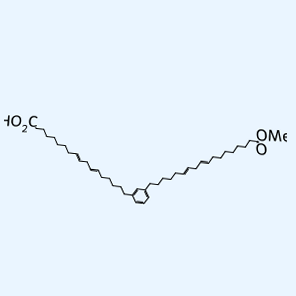 COC(=O)CCCCCCCC=CCC=CCCCCCc1cccc(CCCCCC=CCC=CCCCCCCCC(=O)O)c1